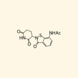 CC(=O)Nc1cccc2c(=O)n(C3CCC(=O)NC3=O)sc12